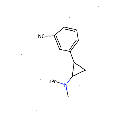 CCCN(C)C1CC1c1cccc(C#N)c1